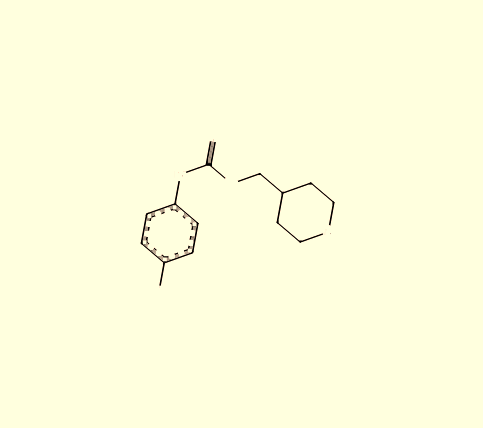 O=Cc1ccc(NC(=O)OCC2CCNCC2)cc1